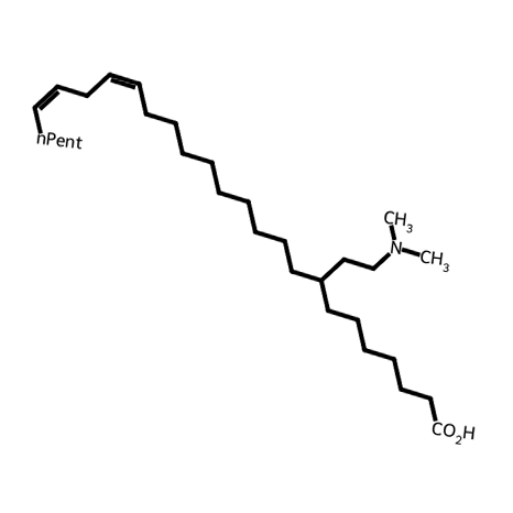 CCCCC/C=C\C/C=C\CCCCCCCCCC(CCCCCCC(=O)O)CCN(C)C